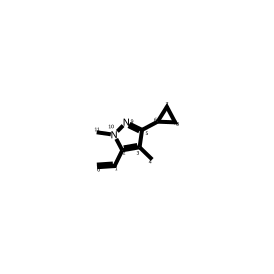 C=Cc1c(C)c(C2CC2)nn1C